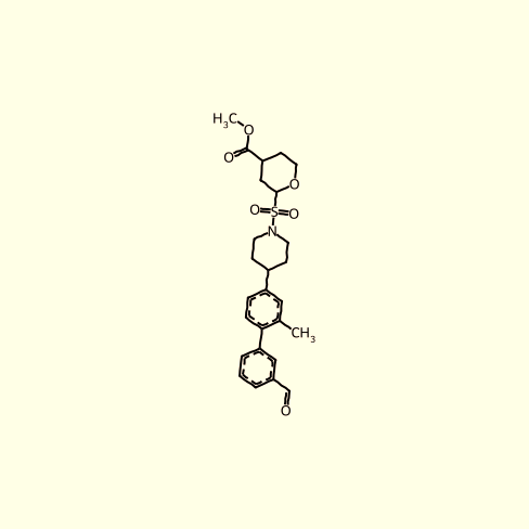 COC(=O)C1CCOC(S(=O)(=O)N2CCC(c3ccc(-c4cccc(C=O)c4)c(C)c3)CC2)C1